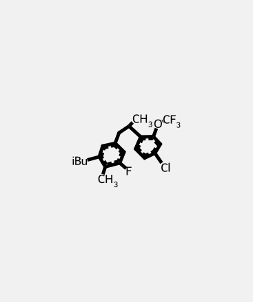 CCC(C)c1cc(CC(C)c2ccc(Cl)cc2OC(F)(F)F)cc(F)c1C